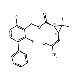 CC1(C)[C@H](C(=O)OCc2c(F)ccc(-c3ccccc3)c2F)[C@@H]1C=C(Cl)C(F)(F)F